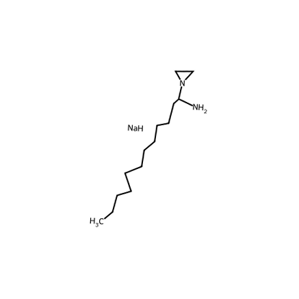 CCCCCCCCCCCC(N)N1CC1.[NaH]